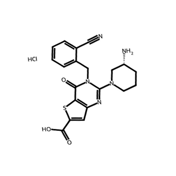 Cl.N#Cc1ccccc1Cn1c(N2CCC[C@@H](N)C2)nc2cc(C(=O)O)sc2c1=O